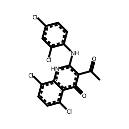 CC(=O)c1c(Nc2ccc(Cl)cc2Cl)[nH]c2c(Cl)ccc(Cl)c2c1=O